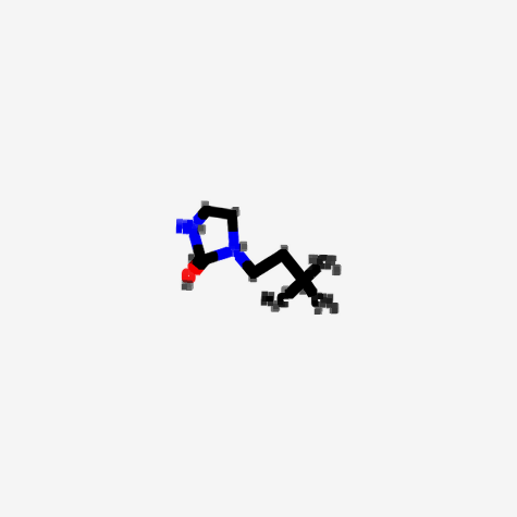 CC(C)(CCN1CCNC1=O)C(F)(F)F